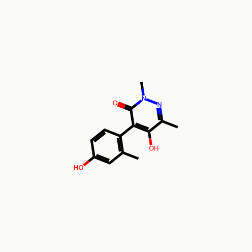 Cc1cc(O)ccc1-c1c(O)c(C)nn(C)c1=O